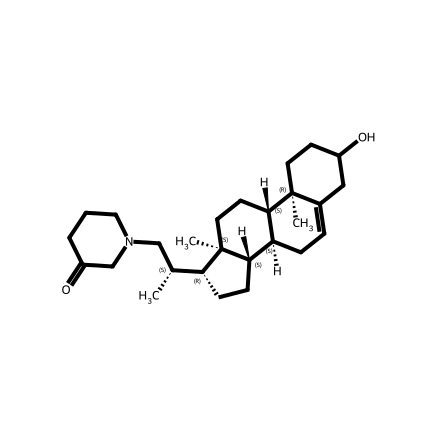 C[C@H](CN1CCCC(=O)C1)[C@H]1CC[C@H]2[C@@H]3CC=C4CC(O)CC[C@]4(C)[C@H]3CC[C@]12C